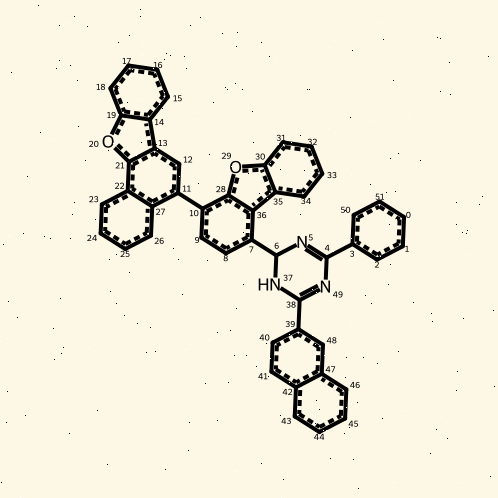 c1ccc(C2=NC(c3ccc(-c4cc5c6ccccc6oc5c5ccccc45)c4oc5ccccc5c34)NC(c3ccc4ccccc4c3)=N2)cc1